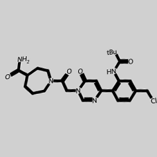 CC(C)(C)C(=O)Nc1cc(CCl)ccc1-c1cc(=O)n(CC(=O)N2CCCC(C(N)=O)CC2)cn1